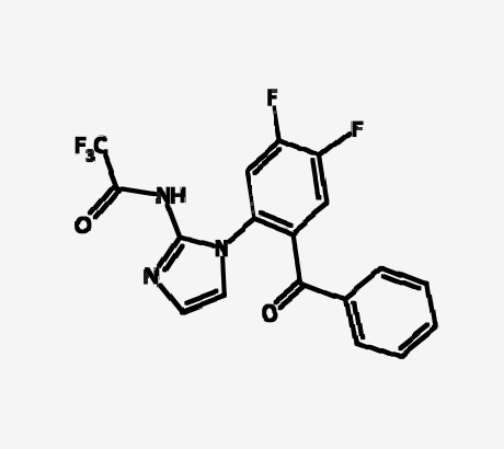 O=C(c1ccccc1)c1cc(F)c(F)cc1-n1ccnc1NC(=O)C(F)(F)F